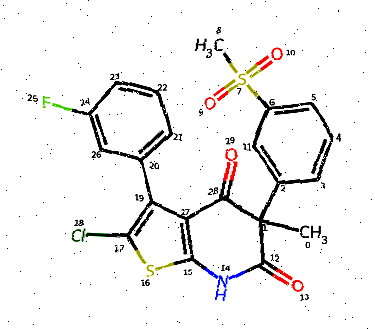 CC1(c2cccc(S(C)(=O)=O)c2)C(=O)Nc2sc(Cl)c(-c3cccc(F)c3)c2C1=O